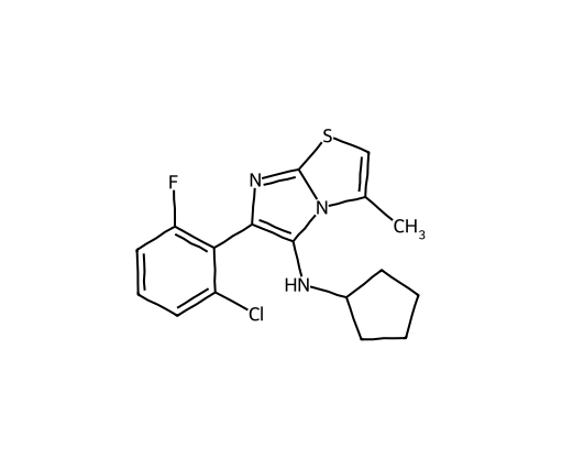 Cc1csc2nc(-c3c(F)cccc3Cl)c(NC3CCCC3)n12